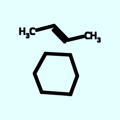 C1CCCCC1.CC=CC